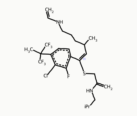 C=CNCCCC(C)/C=C(/SCC(=C)NCC(C)C)c1ccc(C(C)(C(F)(F)F)C(F)(F)F)c(Cl)c1F